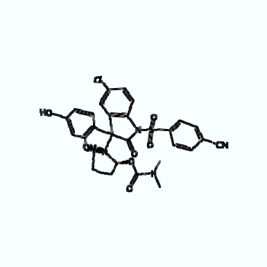 COc1cc(O)ccc1C1(N2CCC[C@@H]2OC(=O)N(C)C)C(=O)N(S(=O)(=O)c2ccc(C#N)cc2)c2ccc(Cl)cc21